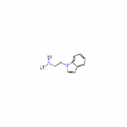 CCN(CC)CCn1ccc2c[c]ccc21